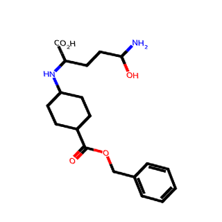 NC(O)CCC(NC1CCC(C(=O)OCc2ccccc2)CC1)C(=O)O